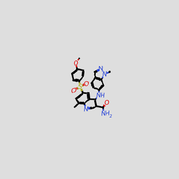 COc1ccc(S(=O)(=O)c2cc(C)c3ncc(C(N)=O)c(Nc4ccc5cnn(C)c5c4)c3c2)cc1